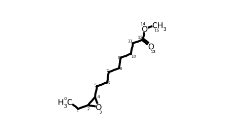 CCC1OC1CCCCCCCC(=O)OC